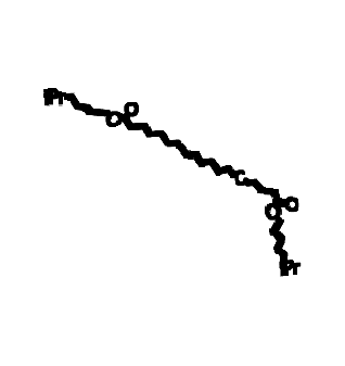 CC(C)CCCCCOC(=O)CCCCCCCCCCCCCCCCCCC(=O)OCCCCCC(C)C